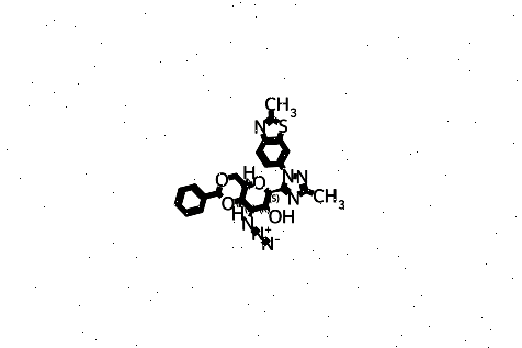 Cc1nc([C@@H]2O[C@@H]3COC(c4ccccc4)O[C@@H]3[C@H](N=[N+]=[N-])[C@H]2O)n(-c2ccc3nc(C)sc3c2)n1